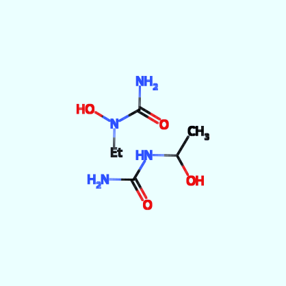 CC(O)NC(N)=O.CCN(O)C(N)=O